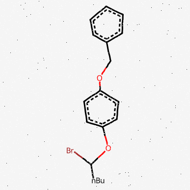 CCCCC(Br)Oc1ccc(OCc2ccccc2)cc1